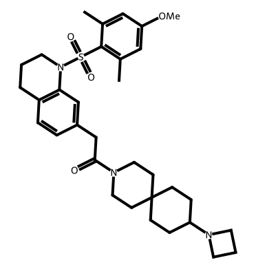 COc1cc(C)c(S(=O)(=O)N2CCCc3ccc(CC(=O)N4CCC5(CCC(N6CCC6)CC5)CC4)cc32)c(C)c1